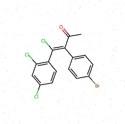 CC(=O)/C(=C(\Cl)c1ccc(Cl)cc1Cl)c1ccc(Br)cc1